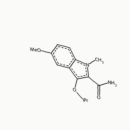 COc1ccc2c(c1)c(OC(C)C)c(C(N)=O)n2C